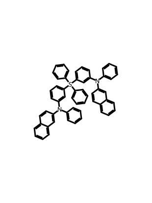 c1ccc(N(c2cccc(S(c3ccccc3)(c3ccccc3)c3cccc(N(c4ccccc4)c4ccc5ccccc5c4)c3)c2)c2ccc3ccccc3c2)cc1